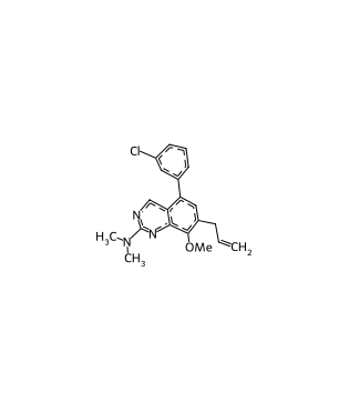 C=CCc1cc(-c2cccc(Cl)c2)c2cnc(N(C)C)nc2c1OC